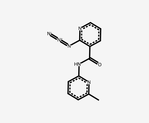 Cc1cccc(NC(=O)c2cccnc2N=[N+]=[N-])n1